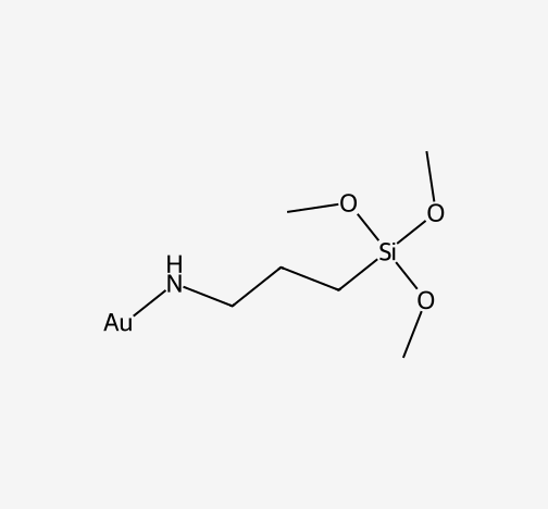 CO[Si](CCC[NH][Au])(OC)OC